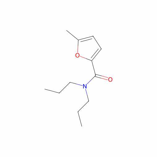 CCCN(CCC)C(=O)c1ccc(C)o1